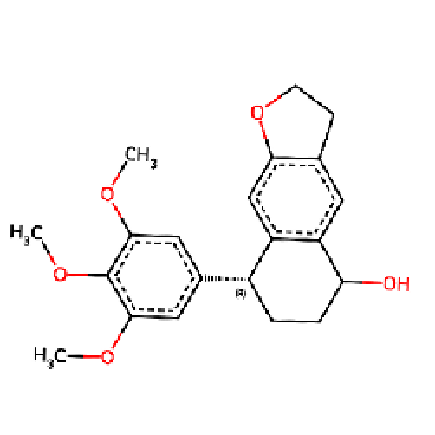 COc1cc([C@H]2CCC(O)c3cc4c(cc32)OCC4)cc(OC)c1OC